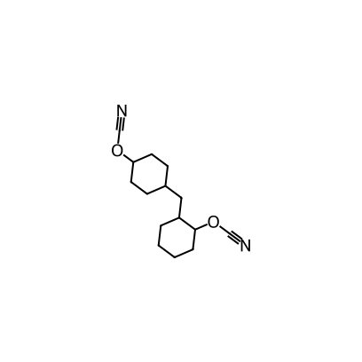 N#COC1CCC(CC2CCCCC2OC#N)CC1